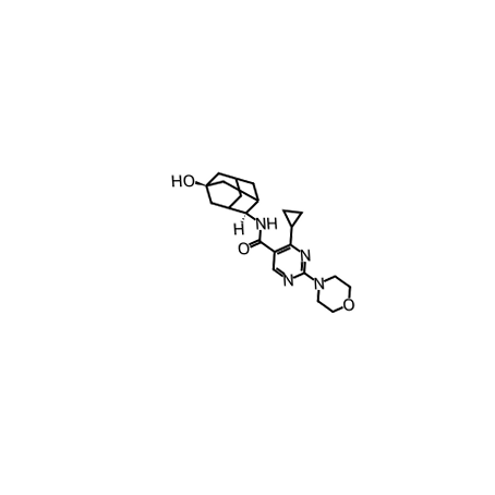 O=C(N[C@H]1C2CC3CC1C[C@@](O)(C3)C2)c1cnc(N2CCOCC2)nc1C1CC1